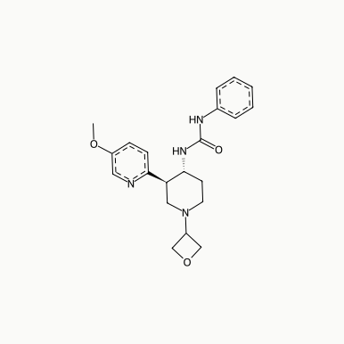 COc1ccc([C@@H]2CN(C3COC3)CC[C@H]2NC(=O)Nc2ccccc2)nc1